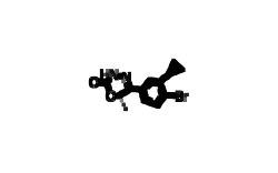 C[C@@H]1OC(=O)NN=C1c1ccc(Br)c(C2CC2)c1